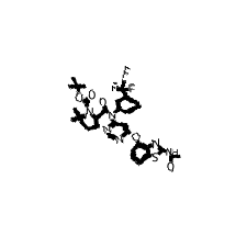 CC(=O)Nc1nc2c(Oc3cc(N(C(=O)C4CCC(C)(C)N4C(=O)OC(C)(C)C)c4cccc(C(F)(F)F)c4)ncn3)cccc2s1